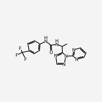 CC(NC(=O)Nc1ccc(C(F)(F)F)cc1)c1ncnn1-c1ncccn1